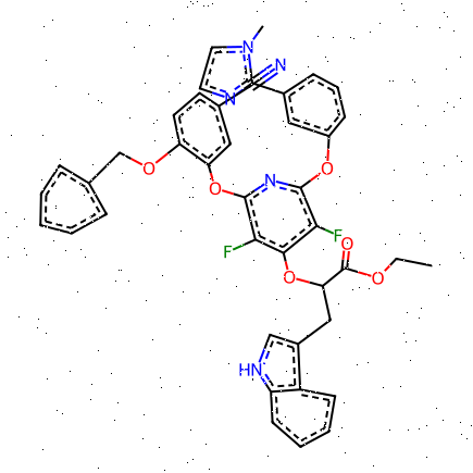 CCOC(=O)C(Cc1c[nH]c2ccccc12)Oc1c(F)c(Oc2cccc(-c3nccn3C)c2)nc(Oc2cc(C#N)ccc2OCc2ccccc2)c1F